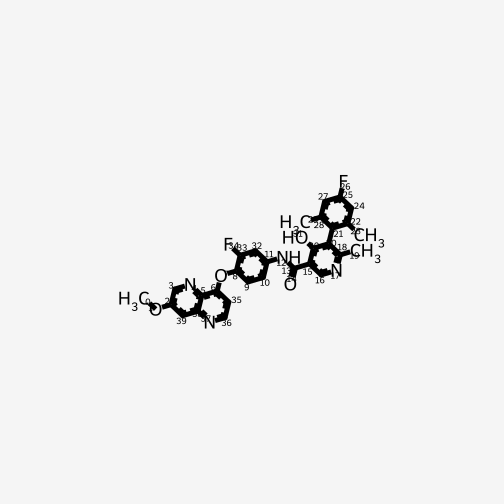 COc1cnc2c(Oc3ccc(NC(=O)c4cnc(C)c(-c5c(C)cc(F)cc5C)c4O)cc3F)ccnc2c1